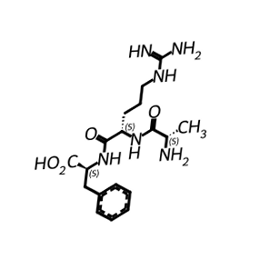 C[C@H](N)C(=O)N[C@@H](CCCNC(=N)N)C(=O)N[C@@H](Cc1ccccc1)C(=O)O